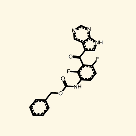 O=C(Nc1ccc(F)c(C(=O)c2c[nH]c3ncncc23)c1F)OCc1ccccc1